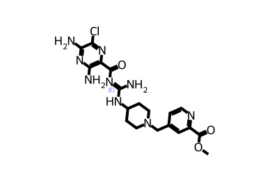 COC(=O)c1cc(CN2CCC(N/C(N)=N/C(=O)c3nc(Cl)c(N)nc3N)CC2)ccn1